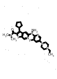 CCN1CCN(c2cnc(N(N)c3cc4c(C5CCCC5)c(C(=O)N(C)C)sc4cn3)c(F)c2)CC1